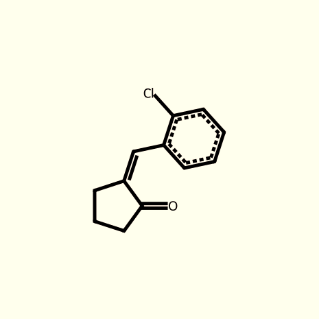 O=C1CCC/C1=C/c1ccccc1Cl